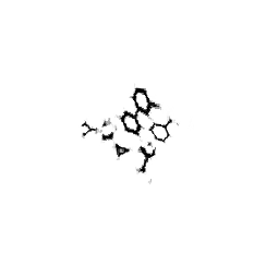 C[C@H](Oc1cccc(-c2cccc(-n3ncc(C(=O)O)c3[C@@H]3C[C@H]3c3cn(C4COC4)nn3)c2)c1)C1CCCCC1